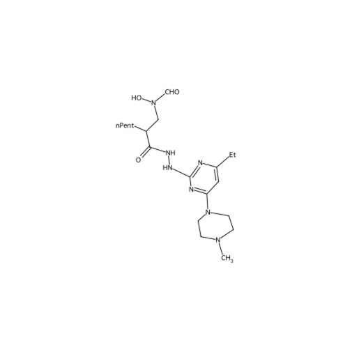 CCCCCC(CN(O)C=O)C(=O)NNc1nc(CC)cc(N2CCN(C)CC2)n1